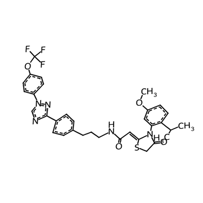 COc1ccc(C(C)C)c(N2C(=O)CS/C2=C\C(=O)NCCCc2ccc(-c3ncn(-c4ccc(OC(F)(F)F)cc4)n3)cc2)c1